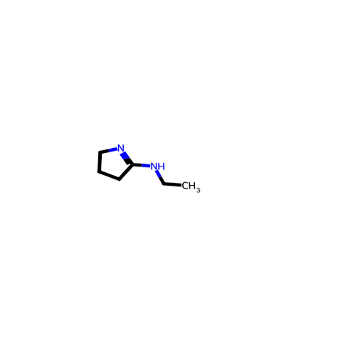 CCNC1=NCCC1